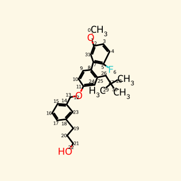 COc1ccc(F)c(-c2ccc(OCc3cccc(CCCO)c3)cc2CC(C)(C)C)c1